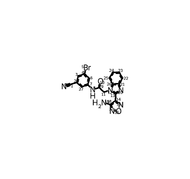 N#Cc1cc(Br)cc(NC(=O)Cn2c(-c3nonc3N)nc3ccccc32)c1